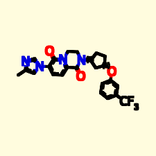 Cc1cn(-c2ccc3n(c2=O)CCN([C@H]2CC[C@H](Oc4cccc(C(F)(F)F)c4)C2)C3=O)cn1